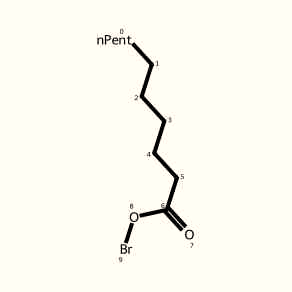 CCCCCCCCCCC(=O)OBr